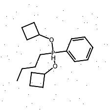 CCCC[PH](OC1CCC1)(OC1CCC1)c1ccccc1